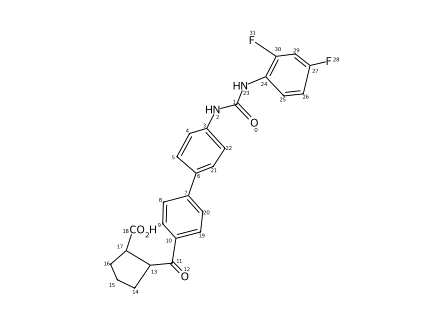 O=C(Nc1ccc(-c2ccc(C(=O)C3CCCC3C(=O)O)cc2)cc1)Nc1ccc(F)cc1F